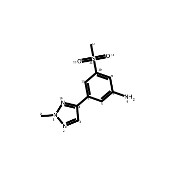 Cn1ncc(-c2cc(N)cc(S(C)(=O)=O)c2)n1